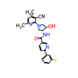 Cc1cc(C)c(C#N)c(N2C[C@@H](O)[C@H](NC(=O)c3ccc(-c4cccc(F)c4)nc3)C2)n1